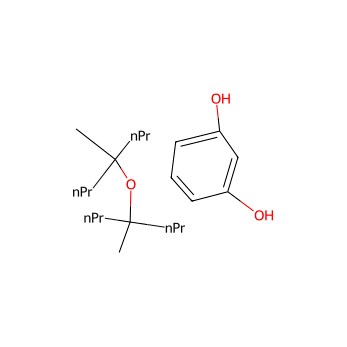 CCCC(C)(CCC)OC(C)(CCC)CCC.Oc1cccc(O)c1